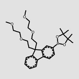 COCCOCCC1(CCOCCOC)c2ccccc2-c2ccc(B3OC(C)(C)C(C)(C)O3)cc21